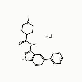 CN1CCC(C(=O)Nc2n[nH]c3ccc(-c4ccccc4)cc23)CC1.Cl